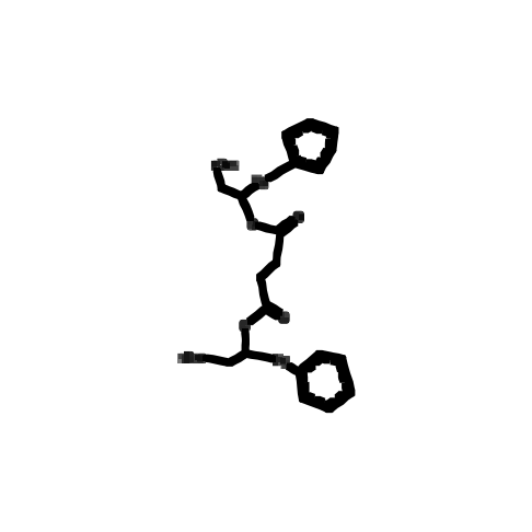 CCCCCCCCCCC[CH](OC(=O)CCC(=O)O[CH](CCCCCCCCCCC)[Hg][c]1ccccc1)[Hg][c]1ccccc1